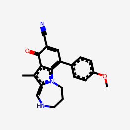 COc1ccc(C2=c3c(c(C)c4n3CCCNC=4)C(=O)C(C#N)=C2)cc1